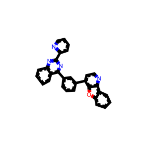 c1ccc(-c2nc(-c3cccc(-c4ccnc5c4oc4ccccc45)c3)c3ccccc3n2)nc1